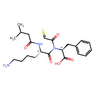 CC(C)CC(=O)N[C@@H](CCCCN)C(=O)N(C(=O)C=S)[C@@H](Cc1ccccc1)C(=O)O